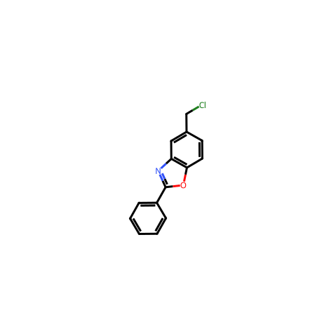 ClCc1ccc2oc(-c3ccccc3)nc2c1